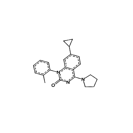 Cc1ccccc1-n1c(=O)nc(N2CCCC2)c2ccc(C3CC3)cc21